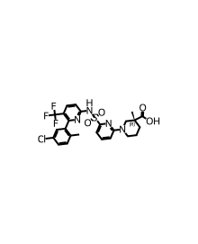 Cc1ccc(Cl)cc1-c1nc(NS(=O)(=O)c2cccc(N3CCC[C@@](C)(C(=O)O)C3)n2)ccc1C(F)(F)F